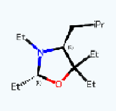 CC[C@H]1OC(CC)(CC)[C@H](CC(C)C)N1CC